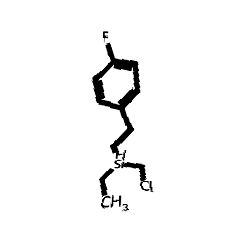 CC[SiH](CCl)CCc1ccc(F)cc1